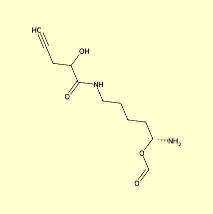 C#CCC(O)C(=O)NCCCC[C@H](N)OC=O